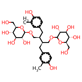 Cc1cc(C[C@H](COC2O[C@H](CO)[C@@H](O)[C@H](O)[C@H]2O)[C@@H](CO[C@@H]2O[C@H](CO)[C@@H](O)[C@H](O)[C@H]2O)Cc2ccc(O)c(C)c2)ccc1O